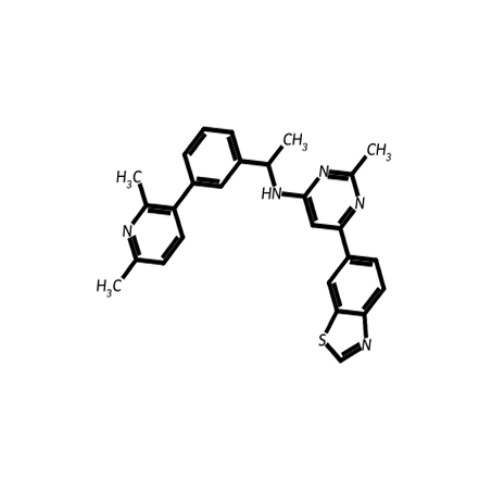 Cc1ccc(-c2cccc(C(C)Nc3cc(-c4ccc5ncsc5c4)nc(C)n3)c2)c(C)n1